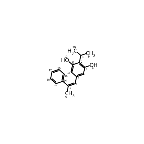 CC(=Cc1cc(O)c(C(C)C)c(O)c1)c1ccccc1